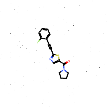 O=C(c1cnc(C#Cc2ccccc2F)s1)N1CCCC1